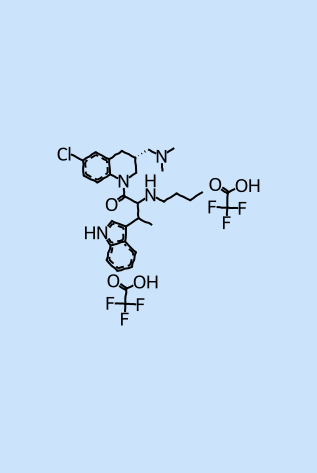 CCCCNC(C(=O)N1C[C@@H](CN(C)C)Cc2cc(Cl)ccc21)C(C)c1c[nH]c2ccccc12.O=C(O)C(F)(F)F.O=C(O)C(F)(F)F